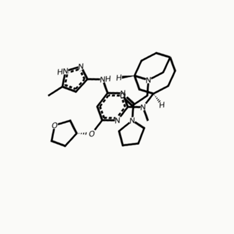 Cc1cc(Nc2cc(O[C@@H]3CCOC3)nc(N(C)[C@@H]3CCC4CC[C@@H](C3)N(CC(=O)N3CCCC3)C4)n2)n[nH]1